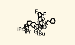 CC(C)[Si](Oc1cccc2c1CN(C(=O)OC(C)(C)C)C([C@@H](O)[C@H](Cc1cc(F)cc(F)c1)C(=O)N1C(=O)OCC1Cc1ccccc1)C2)(C(C)C)C(C)C